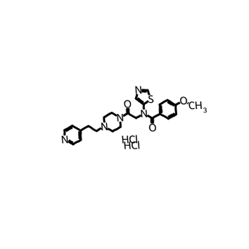 COc1ccc(C(=O)N(CC(=O)N2CCN(CCc3ccncc3)CC2)c2cncs2)cc1.Cl.Cl